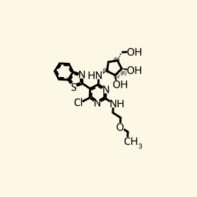 CCOCCNc1nc(Cl)c(-c2nc3ccccc3s2)c(N[C@@H]2C[C@H](CO)[C@@H](O)[C@H]2O)n1